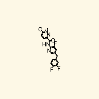 Cn1nc(C(=O)Nc2ncc(Cc3ccc(F)c(F)c3)cc2F)ccc1=O